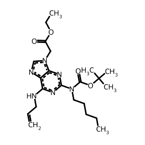 C=CCNc1nc(N(CCCCC)C(=O)OC(C)(C)C)nc2c1ncn2CC(=O)OCC